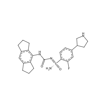 N[S@](=O)(=NC(=O)Nc1c2c(cc3c1CCC3)CCC2)c1ccc(C2CCNC2)cc1F